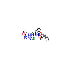 CC(C)(C)OC(=O)N[C@@H]1c2ccccc2CC12CCN(c1nc3c(cnn3C3CCCCO3)nc1Br)CC2